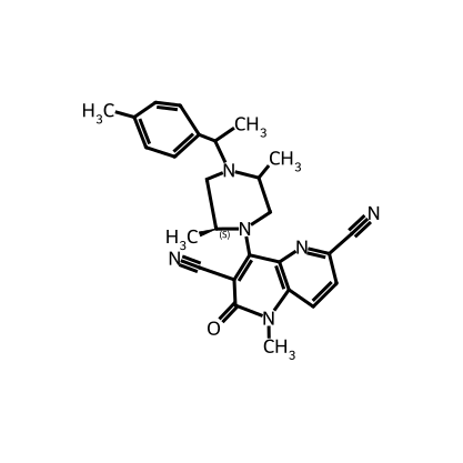 Cc1ccc(C(C)N2C[C@H](C)N(c3c(C#N)c(=O)n(C)c4ccc(C#N)nc34)CC2C)cc1